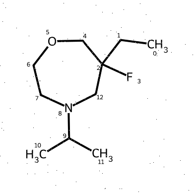 CCC1(F)COCCN(C(C)C)C1